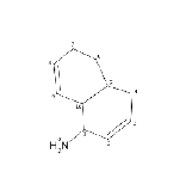 NC1C=CCC2CCC=CC12